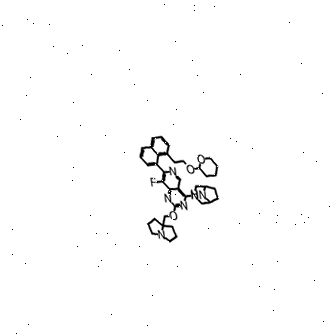 Fc1c(-c2cccc3cccc(CCOC4CCCCO4)c23)ncc2c(N3CC4CCC(C3)N4)nc(OCC34CCCN3CCC4)nc12